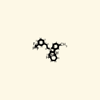 Cc1ccc2c(c1)c1c(n2CCc2cccc(C(F)(F)F)c2)C[C@H]2CCC[C@@H]1N2